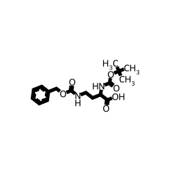 CC(C)(C)OC(=O)NC(CCNC(=O)OCc1ccccc1)C(=O)O